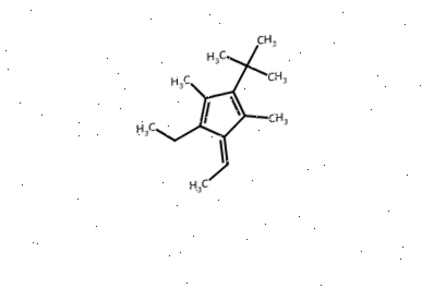 CC=C1C(C)=C(C(C)(C)C)C(C)=C1CC